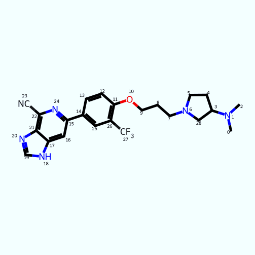 CN(C)C1CCN(CCCOc2ccc(-c3cc4[nH]cnc4c(C#N)n3)cc2C(F)(F)F)C1